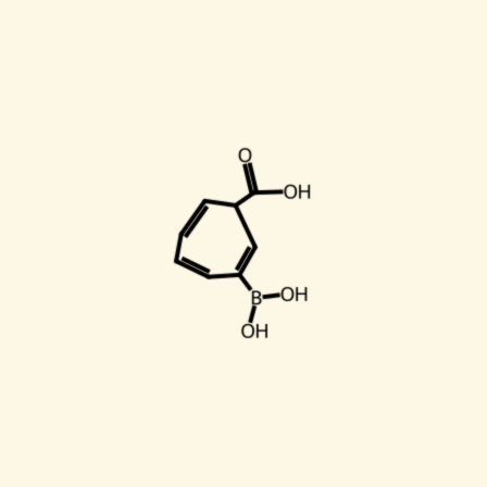 O=C(O)C1C=CC=CC(B(O)O)=C1